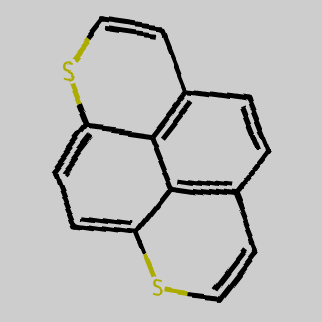 C1=Cc2ccc3c4c(ccc(c24)S1)SC=C3